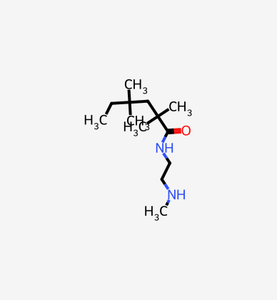 CCC(C)(C)CC(C)(C)C(=O)NCCNC